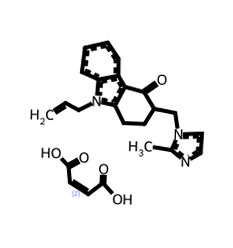 C=CCn1c2c(c3ccccc31)C(=O)C(Cn1ccnc1C)CC2.O=C(O)/C=C\C(=O)O